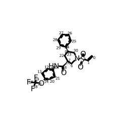 C=CS(=O)(=O)N1C[C@@H](C(=O)Nc2ccc(OC(F)(F)F)cc2)C[C@@H](c2ccccc2)C1